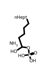 CCCCCCCCCCCC(O)OP(=O)(O)O.N